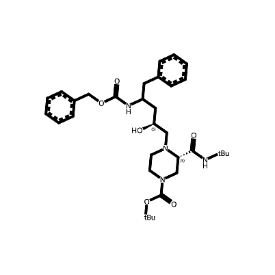 CC(C)(C)NC(=O)[C@@H]1CN(C(=O)OC(C)(C)C)CCN1C[C@@H](O)CC(Cc1ccccc1)NC(=O)OCc1ccccc1